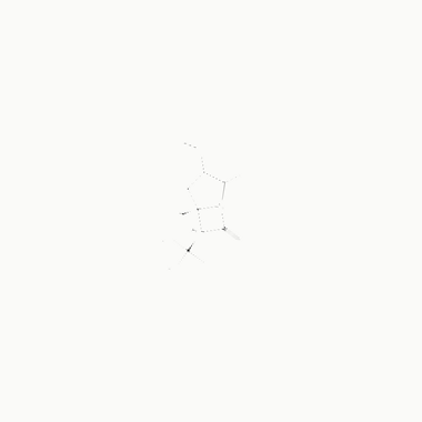 CCSC1C[C@H]2[C@H](C(C)(C)O)C(=O)N2C1C(=O)O